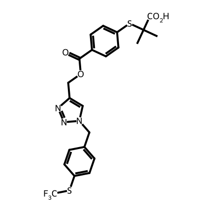 CC(C)(Sc1ccc(C(=O)OCc2cn(Cc3ccc(SC(F)(F)F)cc3)nn2)cc1)C(=O)O